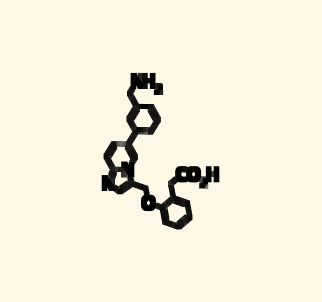 NCc1cccc(-c2ccc3ncc(COc4ccccc4CC(=O)O)n3c2)c1